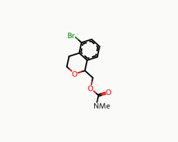 CNC(=O)OCC1OCCc2c(Br)cccc21